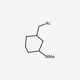 CNC1CCCC(CC(C)=O)C1